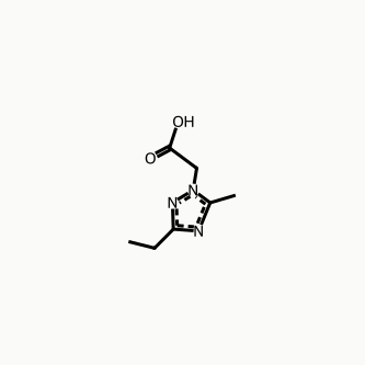 CCc1nc(C)n(CC(=O)O)n1